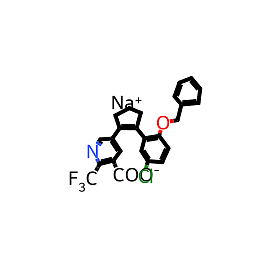 O=C([O-])c1cc(C2=C(c3cc(Cl)ccc3OCc3ccccc3)CCC2)cnc1C(F)(F)F.[Na+]